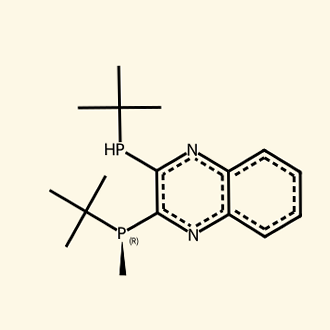 C[P@](c1nc2ccccc2nc1PC(C)(C)C)C(C)(C)C